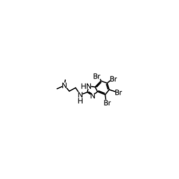 CN(C)CCNc1nc2c(Br)c(Br)c(Br)c(Br)c2[nH]1